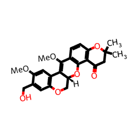 COC1=C2c3cc(OC)c(CO)cc3OC[C@H]2Oc2c1ccc1c2C(=O)CC(C)(C)O1